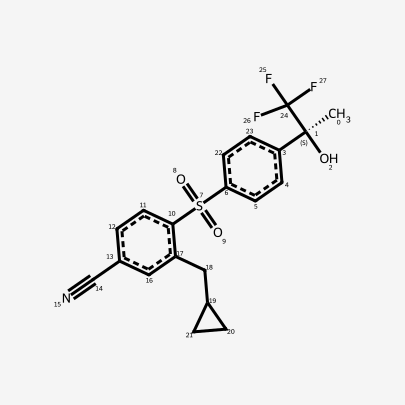 C[C@](O)(c1ccc(S(=O)(=O)c2ccc(C#N)cc2CC2CC2)cc1)C(F)(F)F